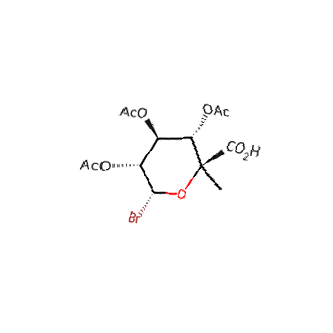 CC(=O)O[C@@H]1[C@@H](OC(C)=O)[C@H](OC(C)=O)[C@@](C)(C(=O)O)O[C@@H]1Br